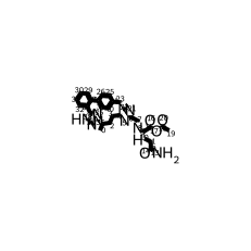 CCCCc1nc(CN[C@@H](CCC(N)=O)C(=O)OC(C)=O)nn1Cc1ccc(-c2ccccc2-c2nnn[nH]2)cc1